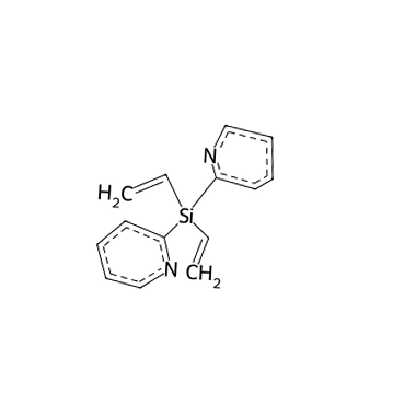 C=C[Si](C=C)(c1ccccn1)c1ccccn1